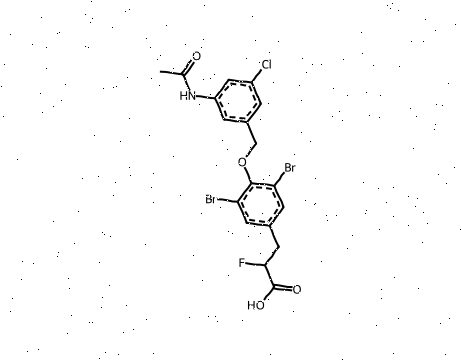 CC(=O)Nc1cc(Cl)cc(COc2c(Br)cc(CC(F)C(=O)O)cc2Br)c1